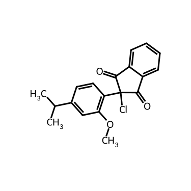 COc1cc(C(C)C)ccc1C1(Cl)C(=O)c2ccccc2C1=O